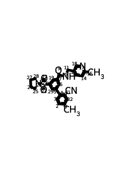 Cc1ccc(-c2cc(C(=O)NCc3ccc(C)nc3)cc(S(=O)(=O)N3CCCC3)c2)c(C#N)c1